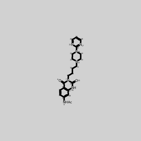 CC(=O)Nc1ccc2c(=O)n(CCCCN3CCN(c4ncccn4)CC3)c(=O)[nH]c2c1